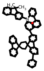 CC1(C)c2ccccc2-c2ccc(N(c3ccc(-c4ccc5c(c4)C4(CCC6(CC4)c4ccccc4-c4ccccc46)c4cc(-c6ccccc6)ccc4-5)cc3)c3ccccc3-c3ccccc3)cc21